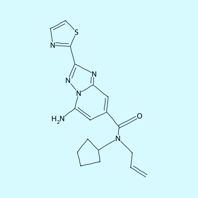 C=CCN(C(=O)c1cc(N)n2nc(-c3nccs3)nc2c1)C1CCCC1